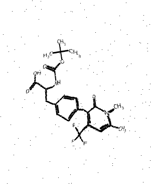 Cc1cc(C(F)(F)F)c(-c2ccc(CC(NC(=O)OC(C)(C)C)C(=O)O)cc2)c(=O)n1C